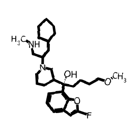 CNCC(CC1CCCCC1)N1CCCC([C@@](O)(CCCCOC)c2cccc3cc(F)oc23)C1